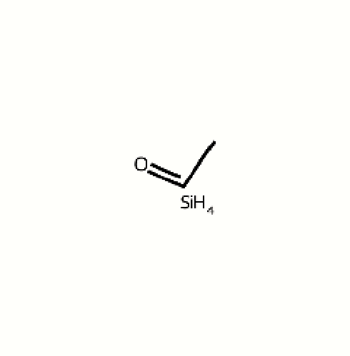 CC=O.[SiH4]